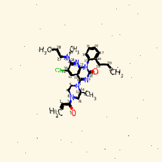 C=CC(=O)N1CCN(c2nc(=O)n(-c3ccccc3CCC)c3nc(N(C)CCC)c(Cl)cc23)[C@@H](C)C1